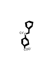 O=C([O-])c1ccc(OCc2ccccc2)cc1.[Cs+]